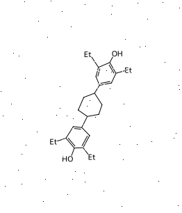 CCc1cc(C2CCC(c3cc(CC)c(O)c(CC)c3)CC2)cc(CC)c1O